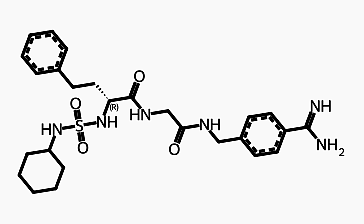 N=C(N)c1ccc(CNC(=O)CNC(=O)[C@@H](CCc2ccccc2)NS(=O)(=O)NC2CCCCC2)cc1